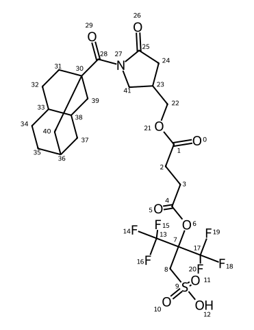 O=C(CCC(=O)OC(CS(=O)(=O)O)(C(F)(F)F)C(F)(F)F)OCC1CC(=O)N(C(=O)C23CCC4CCC(CC4C2)C3)C1